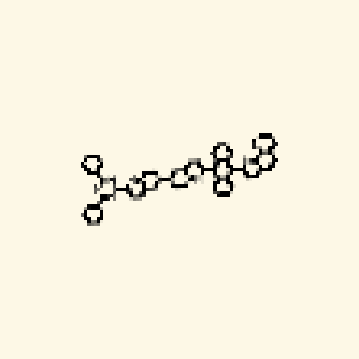 c1ccc(-c2nc(-c3ccccc3)nc(-c3ccc4cc(-c5ccc6nc(-c7c8ccccc8c(-c8ccc9ccc%10cccnc%10c9n8)c8ccccc78)ccc6c5)ccc4n3)n2)cc1